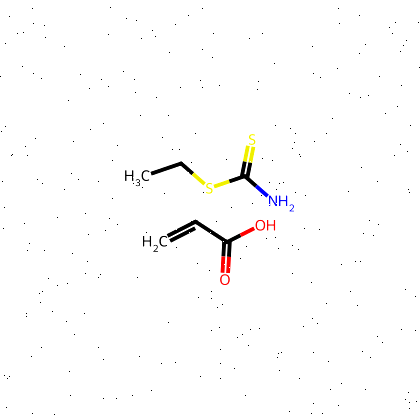 C=CC(=O)O.CCSC(N)=S